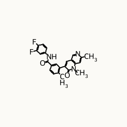 Cc1cc2c(cn1)cc(-c1cc(C(=O)Nc3ccc(F)c(F)c3)ccc1C)c(=O)n2C